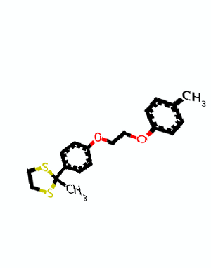 Cc1ccc(OCCOc2ccc(C3(C)SCCS3)cc2)cc1